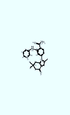 Cc1cc2c(n1-c1ccc(C(N)=O)c(Nc3cccnc3)c1)CC(C)(C)CC2=O